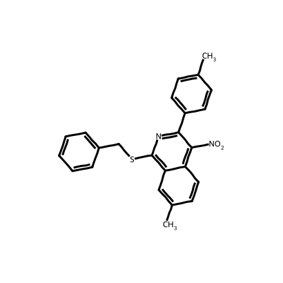 Cc1ccc(-c2nc(SCc3ccccc3)c3cc(C)ccc3c2[N+](=O)[O-])cc1